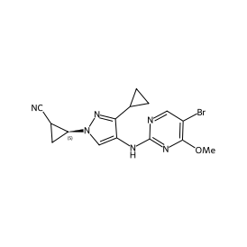 COc1nc(Nc2cn([C@H]3CC3C#N)nc2C2CC2)ncc1Br